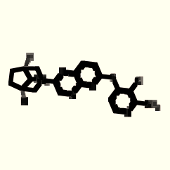 Nc1nccc(Sc2ccc3nc(N4C[C@H]5CC[C@@H](C4)C5N)cnc3n2)c1Cl